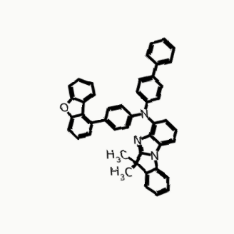 CC1(C)c2ccccc2-n2c1nc1c(N(c3ccc(-c4ccccc4)cc3)c3ccc(-c4cccc5oc6ccccc6c45)cc3)cccc12